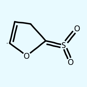 O=S(=O)=C1CC=[C]O1